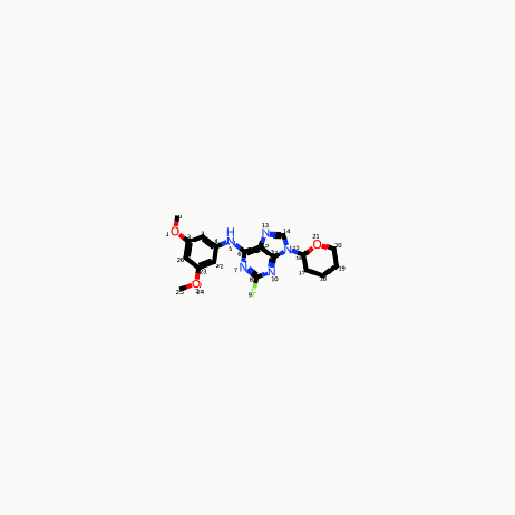 COc1cc(Nc2nc(F)nc3c2ncn3C2CCCCO2)cc(OC)c1